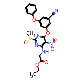 CCOC(=O)CNc1nc([S+](C)[O-])nc(Oc2cc(C#N)cc(Oc3ccccc3)c2)c1[N+](=O)[O-]